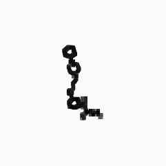 NC(=S)Nc1cccc(OCCCN2CCN(c3ccccc3)CC2)c1